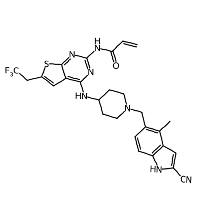 C=CC(=O)Nc1nc(NC2CCN(Cc3ccc4[nH]c(C#N)cc4c3C)CC2)c2cc(CC(F)(F)F)sc2n1